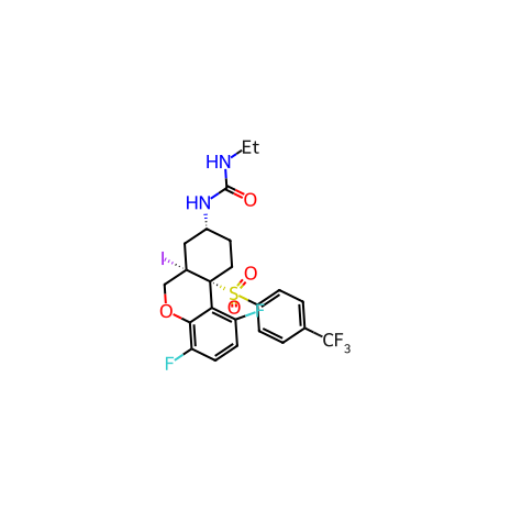 CCNC(=O)N[C@@H]1CC[C@@]2(S(=O)(=O)c3ccc(C(F)(F)F)cc3)c3c(F)ccc(F)c3OC[C@@]2(I)C1